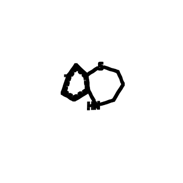 [c]1ccc2c(c1)SCCCN2